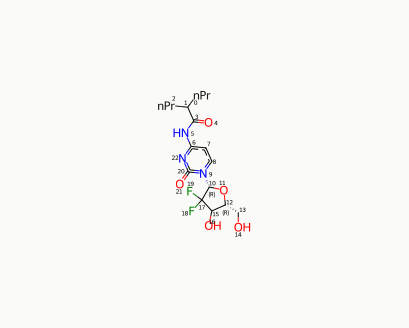 CCCC(CCC)C(=O)Nc1ccn([C@@H]2O[C@H](CO)C(O)C2(F)F)c(=O)n1